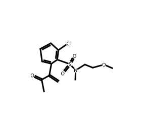 C=C(C(C)=O)c1cccc(Cl)c1S(=O)(=O)N(C)CCOC